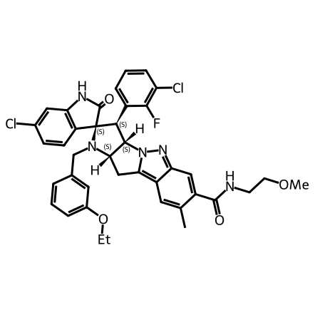 CCOc1cccc(CN2[C@H]3Cc4c5cc(C)c(C(=O)NCCOC)cc5nn4[C@H]3[C@H](c3cccc(Cl)c3F)[C@]23C(=O)Nc2cc(Cl)ccc23)c1